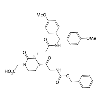 COc1ccc(C(NC(=O)CC[C@H]2C(=O)N(CC(=O)O)CCN2C(=O)CNC(=O)OCc2ccccc2)c2ccc(OC)cc2)cc1